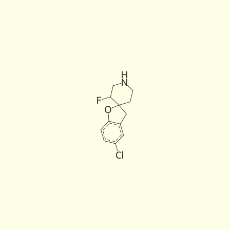 FC1CNCCC12Cc1cc(Cl)ccc1O2